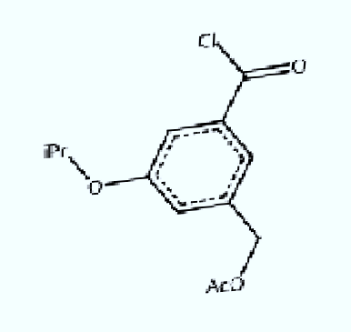 CC(=O)OCc1cc(OC(C)C)cc(C(=O)Cl)c1